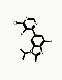 Cc1nc2c(F)cc(-c3ncnc(Cl)c3F)cc2n1C(C)C